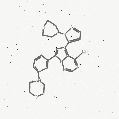 Nc1ncnn2c(-c3cccc(N4CCOCC4)c3)cc(-c3ccnn3C3CCOCC3)c12